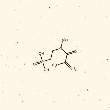 C=C(C)C(=O)N(CCCC)CCP(=O)(O)O